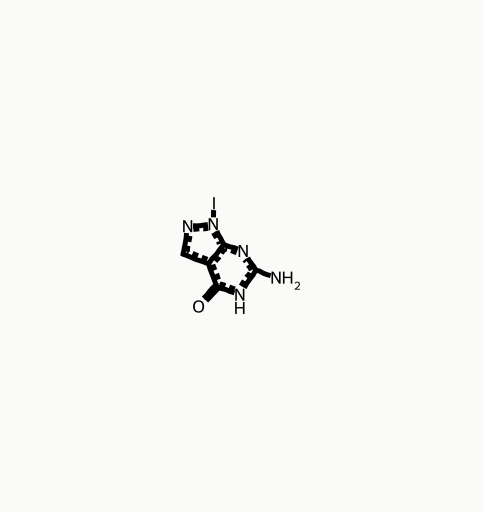 Nc1nc2c(cnn2I)c(=O)[nH]1